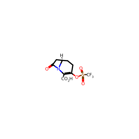 O=C(O)C1=C(OS(=O)(=O)C(F)(F)F)CC[C@@H]2CC(=O)N12